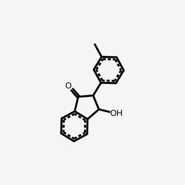 Cc1cccc(C2C(=O)c3ccccc3C2O)c1